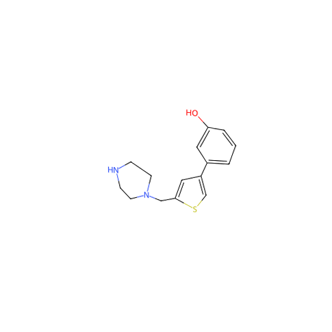 Oc1cccc(-c2csc(CN3CCNCC3)c2)c1